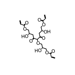 C=CC(=O)OCC(O)COC(C(=O)CC(O)COC(=O)C=C)C(=O)CC(O)COC(=O)C=C